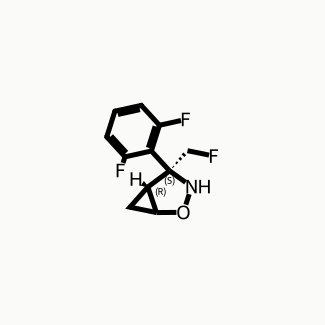 FC[C@]1(c2c(F)cccc2F)NOC2C[C@@H]21